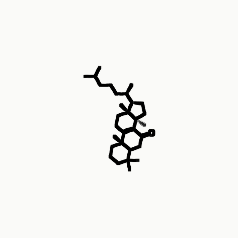 CC(C)CCC[C@@H](C)[C@H]1CC[C@@]2(C)C3=C(CC[C@]12C)[C@@]1(C)CCCC(C)(C)C1CC3=O